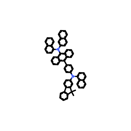 CC1(C)c2ccccc2-c2ccc(N(c3ccc(-c4c5ccccc5c(N(c5ccc6ccccc6c5)c5cccc6ccccc56)c5ccccc45)cc3)c3cccc4ccccc34)cc21